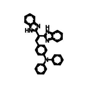 C(=C(c1nc2ccccc2[nH]1)c1nc2ccccc2[nH]1)c1ccc(N(c2ccccc2)c2ccccc2)cc1